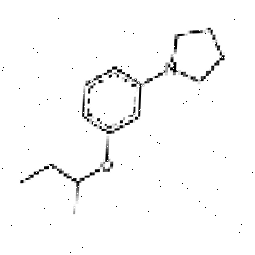 CCC(C)Oc1cccc(N2CCCC2)c1